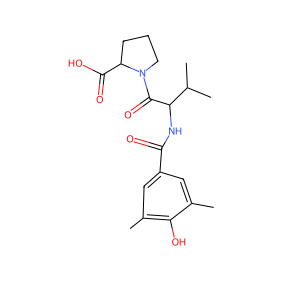 Cc1cc(C(=O)NC(C(=O)N2CCCC2C(=O)O)C(C)C)cc(C)c1O